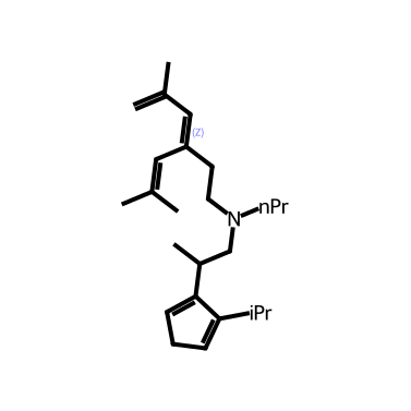 C=C(C)/C=C(\C=C(C)C)CCN(CCC)CC(C)C1=CCC=C1C(C)C